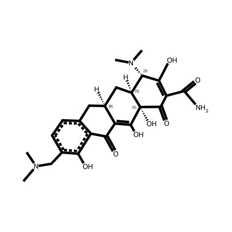 CN(C)Cc1ccc2c(c1O)C(=O)C1=C(O)[C@]3(O)C(=O)C(C(N)=O)=C(O)[C@@H](N(C)C)[C@@H]3C[C@@H]1C2